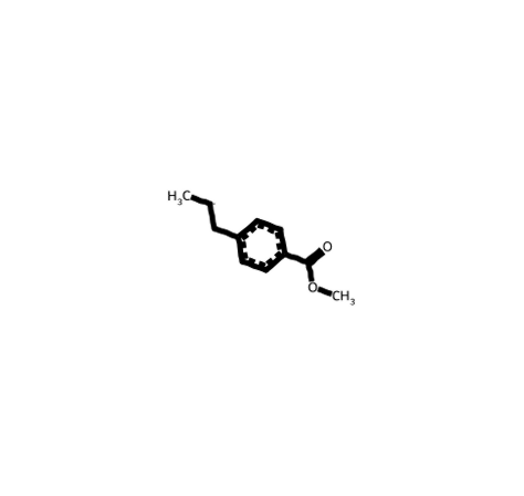 C[CH]Cc1ccc(C(=O)OC)cc1